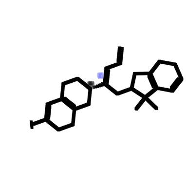 C=C/C=C(\CC1CC2=C(C=CCC2)C1(C)C)[C@H]1CCC2=C(CCC(I)=C2)C1